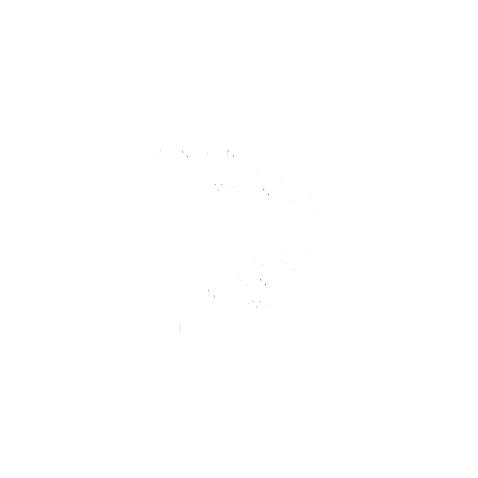 COc1nc(-c2cccc(-c3cccc(-c4cc5c(c(OC)n4)C(N4CC6(CN(C(C)=O)C6)C4)CC5)c3Cl)c2Cl)cc2c1C(N1CC(C)C1)CC2